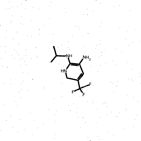 CC(C)NC1=C(N)C=C(C(F)(F)F)CN1